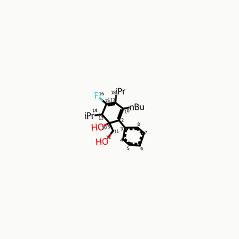 CCCCC1=C(c2ccccc2)C(O)(CO)C(C(C)C)C(F)=C1C(C)C